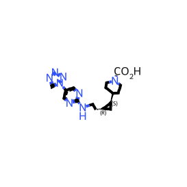 O=C(O)N1CCC([C@H]2C[C@@H]2CCNc2ncc(-n3cnnn3)cn2)CC1